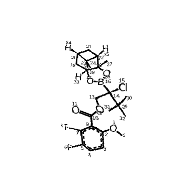 COc1ccc(F)c(F)c1C(=O)OC[C@](Cl)(B1O[C@@H]2C[C@@H]3C[C@@H](C3(C)C)[C@]2(C)O1)C(C)(C)C